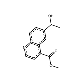 COC(=O)c1ccnc2ccc(C(C)O)cc12